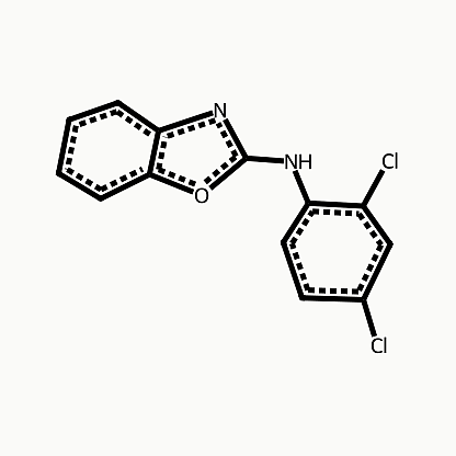 Clc1ccc(Nc2nc3ccccc3o2)c(Cl)c1